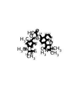 CC[C@@H](N(C)c1cc(C)c(C(=O)N[C@@H](Cc2ccc(-c3c(C)nc(C)n(C)c3=O)c3ncccc23)C(=O)O)c(F)c1)C(F)(F)F